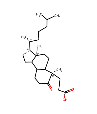 CC(C)CCC[C@@H](C)[C@H]1CCC2C3CCC(=O)[C@](C)(CCC(=O)O)C3CC[C@@]21C